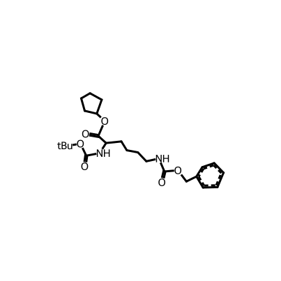 CC(C)(C)OC(=O)NC(CCCCNC(=O)OCc1ccccc1)C(=O)OC1CCCC1